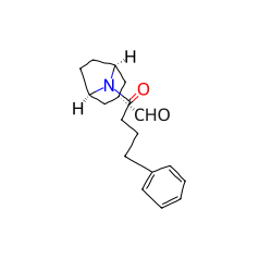 O=C[C@@H]1C[C@H]2CC[C@@H](C1)N2C(=O)CCCc1ccccc1